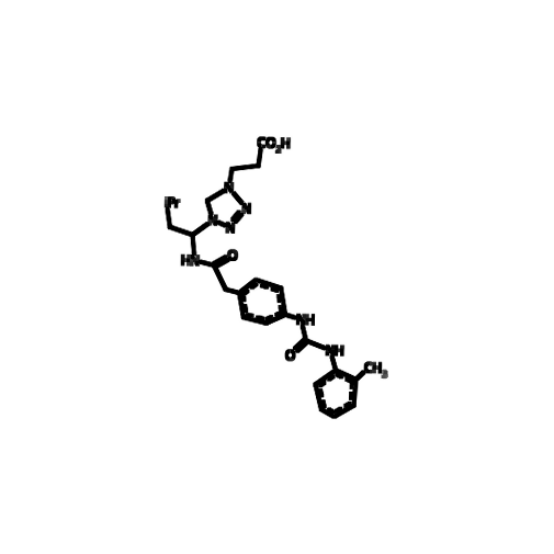 Cc1ccccc1NC(=O)Nc1ccc(CC(=O)NC(CC(C)C)N2CN(CCC(=O)O)N=N2)cc1